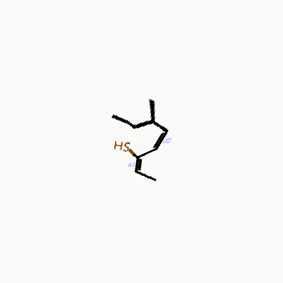 C/C=C(S)\C=C/C(C)CC